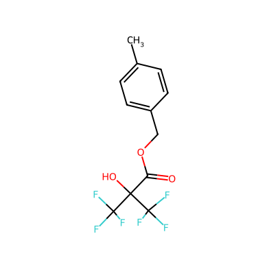 Cc1ccc(COC(=O)C(O)(C(F)(F)F)C(F)(F)F)cc1